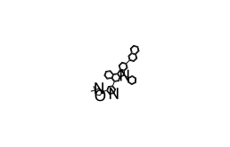 CC1(C)COC(c2cncc(-c3cc4c(c5ccccc35)c3ccc(-c5ccc6ccccc6c5)cc3n4-c3ccccc3)c2)=N1